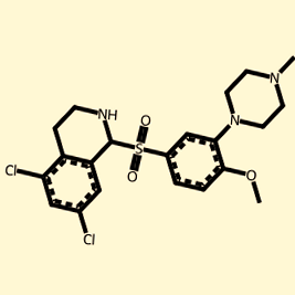 COc1ccc(S(=O)(=O)C2NCCc3c(Cl)cc(Cl)cc32)cc1N1CCN(C)CC1